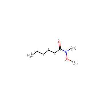 [CH2]CCCCC(=O)N(C)OC